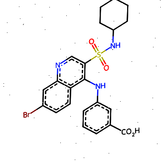 O=C(O)c1cccc(Nc2c(S(=O)(=O)NC3CCCCC3)cnc3cc(Br)ccc23)c1